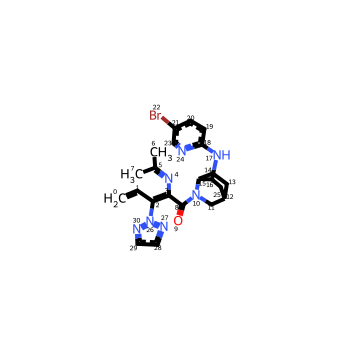 C=C/C(=C(\N=C(C)C)C(=O)N1CC2CCC1C(Nc1ccc(Br)cn1)C2)n1nccn1